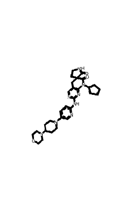 O=C1NCCC12Cc1cnc(Nc3ccc(N4CCC(N5CCOCC5)CC4)cn3)nc1N(C1CCCC1)C2=O